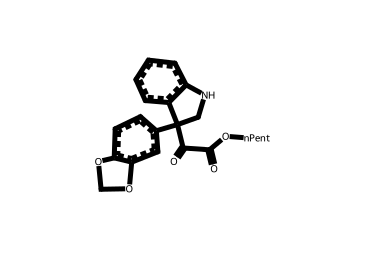 CCCCCOC(=O)C(=O)C1(c2ccc3c(c2)OCO3)CNc2ccccc21